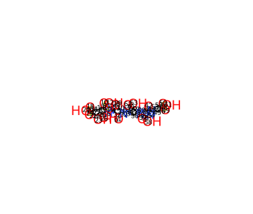 COc1cc(/N=N/c2c(S(=O)(=O)O)cc3cc(S(=O)(=O)O)cc(O)c3c2O)c(OC)cc1/N=N/c1ccc(/N=N/C2C(=O)N(c3ccc(S(=O)(=O)O)cc3)N=C2C(=O)O)cc1C(=O)O